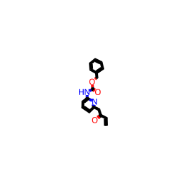 C=CC(=O)Cc1cccc(NC(=O)OCc2ccccc2)n1